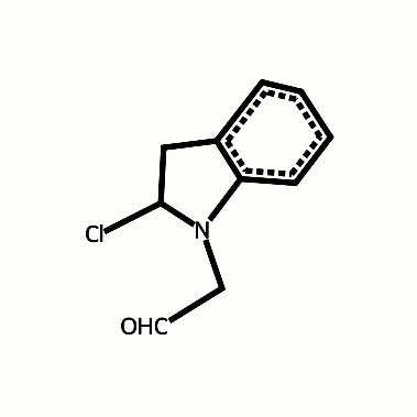 O=CCN1c2ccccc2CC1Cl